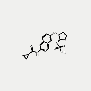 CS(=O)(=O)O[C@@H]1CCC[C@H]1Oc1ccc2cc(NC(=O)C3CC3)ncc2c1